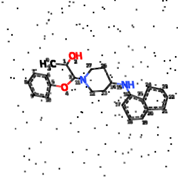 CC(O)C(Oc1ccccc1)N1CCC(Nc2cccc3ccccc23)CC1